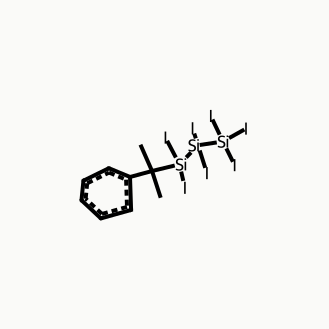 CC(C)(c1ccccc1)[Si](I)(I)[Si](I)(I)[Si](I)(I)I